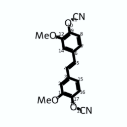 COc1cc(/C=C/c2ccc(OC#N)c(OC)c2)ccc1OC#N